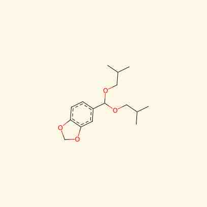 CC(C)COC(OCC(C)C)c1ccc2c(c1)OCO2